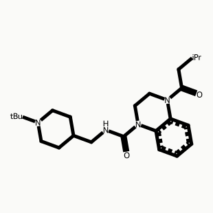 CC(C)CC(=O)N1CCN(C(=O)NCC2CCN(C(C)(C)C)CC2)c2ccccc21